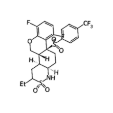 CCC1C[C@@H]2[C@@H](CC[C@@]3(S(=O)(=O)c4ccc(C(F)(F)F)cc4)c4c(F)ccc(F)c4OC[C@@H]23)NS1(=O)=O